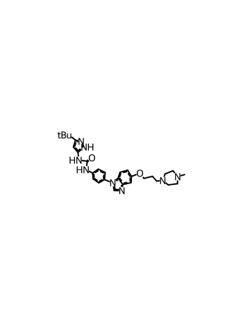 CN1CCN(CCCOc2ccc3c(c2)ncn3-c2ccc(NC(=O)Nc3cc(C(C)(C)C)n[nH]3)cc2)CC1